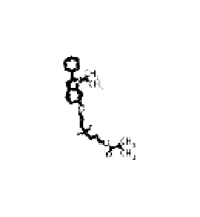 C=C(C)C(=O)OCCCC(F)(F)CCCOc1ccc2cc(-c3ccccc3)n(C(C)C)c2c1